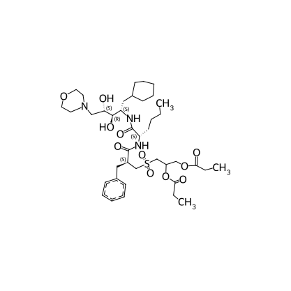 CCCC[C@H](NC(=O)[C@H](Cc1ccccc1)CS(=O)(=O)CC(COC(=O)CC)OC(=O)CC)C(=O)N[C@@H](CC1CCCCC1)[C@@H](O)[C@@H](O)CN1CCOCC1